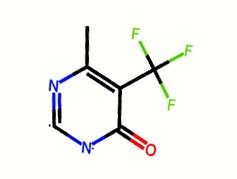 CC1=C(C(F)(F)F)C(=O)[N][C]=N1